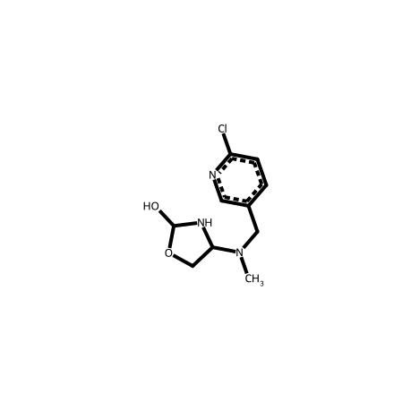 CN(Cc1ccc(Cl)nc1)C1COC(O)N1